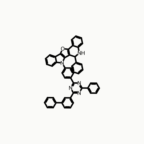 c1ccc(-c2cccc(-c3nc(-c4ccccc4)nc(-c4ccc(-n5c6ccccc6c6oc7c(c65)C(c5ccccc5)Nc5ccccc5-7)cc4)n3)c2)cc1